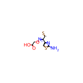 Nc1nc(/C([C]=S)=N\OCC(=O)O)cs1